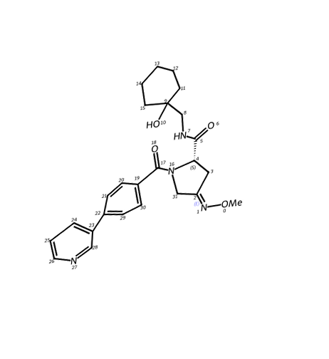 CO/N=C1\C[C@@H](C(=O)NCC2(O)CCCCC2)N(C(=O)c2ccc(-c3cccnc3)cc2)C1